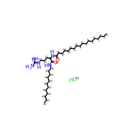 CCCCCCCCCCCCCCCCCC(=O)NC(CCCNC(=N)N)C(=O)NCCCCCCCCCCCC.Cl